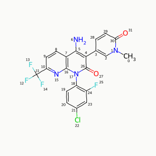 Cn1cc(-c2c(N)c3ccc(C(F)(F)F)nc3n(-c3ccc(Cl)cc3F)c2=O)ccc1=O